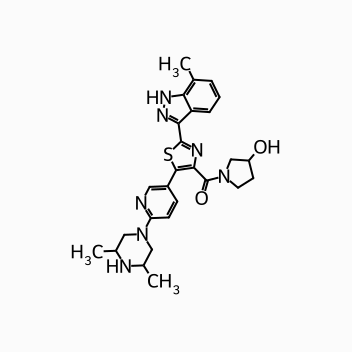 Cc1cccc2c(-c3nc(C(=O)N4CCC(O)C4)c(-c4ccc(N5CC(C)NC(C)C5)nc4)s3)n[nH]c12